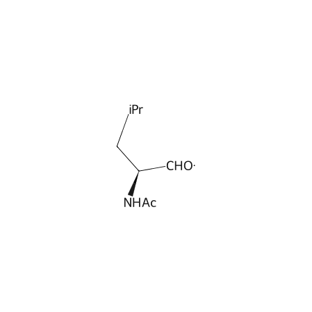 CC(=O)N[C@H]([C]=O)CC(C)C